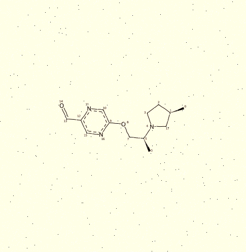 C[C@@H]1CCN([C@@H](C)COc2cnc(C=O)cn2)C1